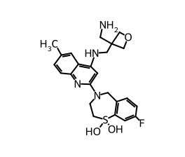 Cc1ccc2nc(N3CCS(O)(O)c4cc(F)ccc4C3)cc(NCC3(CN)COC3)c2c1